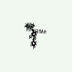 COc1cc(OCc2ccc(F)cc2)c(F)cc1CNC(=O)[C@@H]1CCCN1